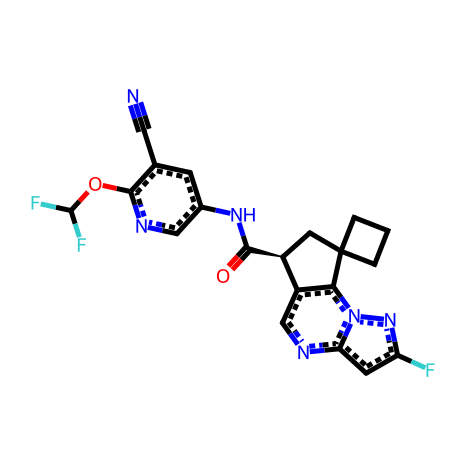 N#Cc1cc(NC(=O)[C@H]2CC3(CCC3)c3c2cnc2cc(F)nn32)cnc1OC(F)F